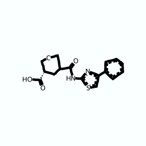 O=C(Nc1nc(-c2ccccc2)cs1)C1CCC[C@@H](C(=O)O)C1